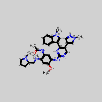 COc1cc(N(C)CC2CCCN2C)c(NC(C)=O)cc1Nc1ncc(-c2cnn(C)c2)c(-c2cn(C)c3ccccc23)n1